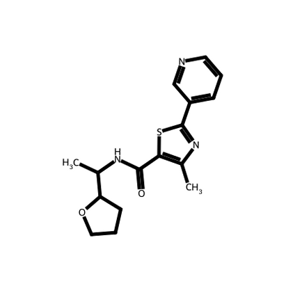 Cc1nc(-c2cccnc2)sc1C(=O)NC(C)C1CCCO1